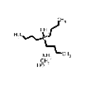 CCCC[P+](C)(CCCC)CCCC.N.O.[OH-]